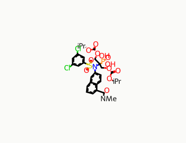 CNC(=O)c1cccc2cc(N(C(COC(=O)OC(C)C)(COC(=O)OC(C)C)P(=O)(O)O)S(=O)(=O)c3cc(Cl)cc(Cl)c3)ccc12